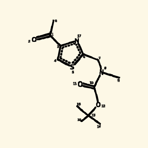 CC(=O)c1csc(CN(C)C(=O)OC(C)(C)C)n1